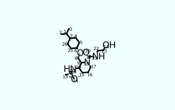 CC(C)C1CCC(OCC2C(N[S+](C)[O-])CCCN2C(=O)NCCO)CC1